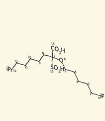 CC(C)CCCCCOC(CCCCCC(C)C)(C(=O)O)S(=O)(=O)O